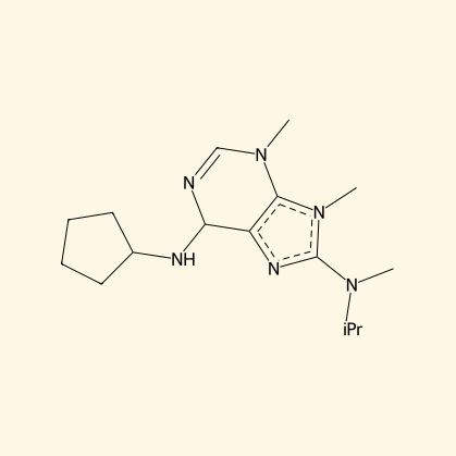 CC(C)N(C)c1nc2c(n1C)N(C)C=NC2NC1CCCC1